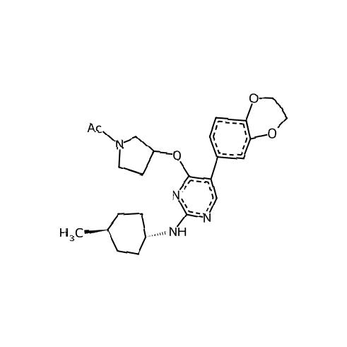 CC(=O)N1CCC(Oc2nc(N[C@H]3CC[C@H](C)CC3)ncc2-c2ccc3c(c2)OCCO3)C1